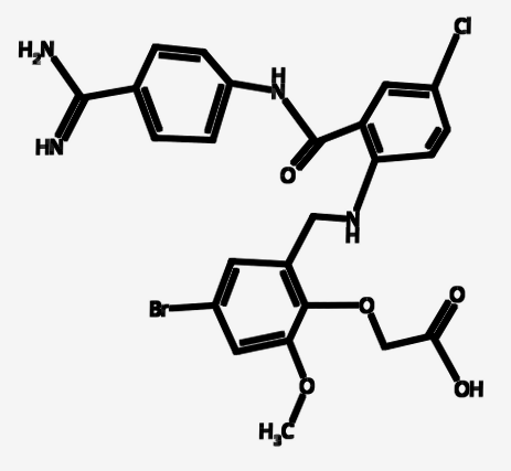 COc1cc(Br)cc(CNc2ccc(Cl)cc2C(=O)Nc2ccc(C(=N)N)cc2)c1OCC(=O)O